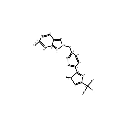 Cn1cc(C(F)(F)F)nc1-c1ccc(Cn2cc3cnc(Cl)nc3n2)cc1